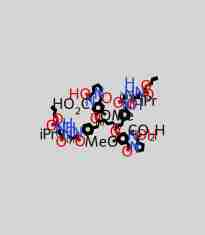 C=CCOC(=O)N[C@H](C(=O)N[C@@H](C)C(=O)Nc1ccc(C[C@H](CCC[C@@H](Cc2ccc(NC(=O)[C@H](C)NC(=O)[C@@H](NC(=O)OCC=C)C(C)C)cc2)Oc2cc3c(cc2OC)C(=O)N2CCCC2C(O)N3C(=O)O)Oc2cc3c(cc2OC)C(=O)N2CCCC2C(O)N3C(=O)O)cc1)C(C)C